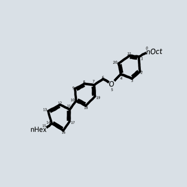 CCCCCCCCc1ccc(OCc2ccc(-c3ccc(CCCCCC)cc3)cc2)cc1